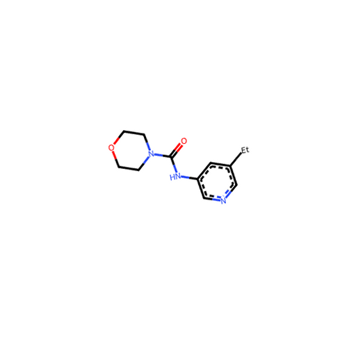 CCc1cncc(NC(=O)N2CCOCC2)c1